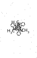 CN1B2N(B3N(C)c4ccccc4N3B3N(C)c4ccccc4N23)c2ccccc21